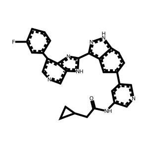 O=C(CC1CC1)Nc1cncc(-c2ccc3[nH]nc(-c4nc5c(-c6cccc(F)c6)cncc5[nH]4)c3c2)c1